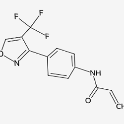 C=CC(=O)Nc1ccc(-c2nocc2C(F)(F)F)cc1